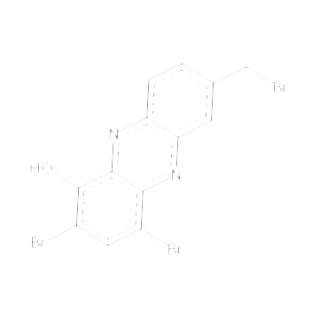 Oc1c(Br)cc(Br)c2nc3cc(CBr)ccc3nc12